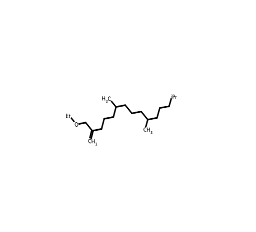 C=C(CCCC(C)CCCC(C)CCCC(C)C)COCC